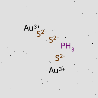 P.[Au+3].[Au+3].[S-2].[S-2].[S-2]